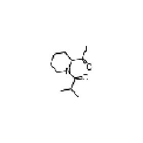 CC(C)C(=O)N1CCCCC1C(=O)I